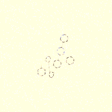 c1ccc(-c2nc(-c3cccnc3)nnc2-c2ccc3c(c2)C2(c4ccccc4Sc4ccccc42)c2ccccc2-3)cc1